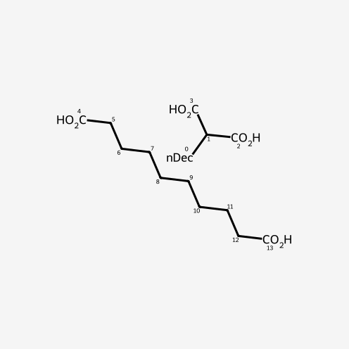 CCCCCCCCCCC(C(=O)O)C(=O)O.O=C(O)CCCCCCCCC(=O)O